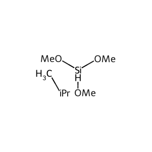 CC(C)C.CO[SiH](OC)OC